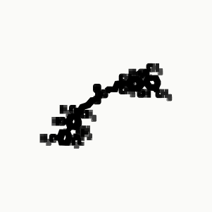 C=C(C)[C@@H]1CCC(C)=C[C@H]1c1c(O)cc(C(C)(C)CCCO[N+](=O)OCCCC(C)(C)c2cc(O)c([C@@H]3C=C(C)CC[C@H]3C(=C)C)c(O)c2)cc1O